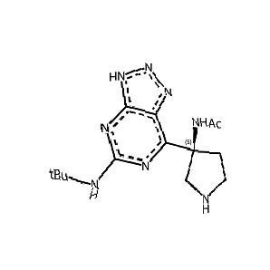 CC(=O)N[C@@]1(c2nc(NC(C)(C)C)nc3[nH]nnc23)CCNC1